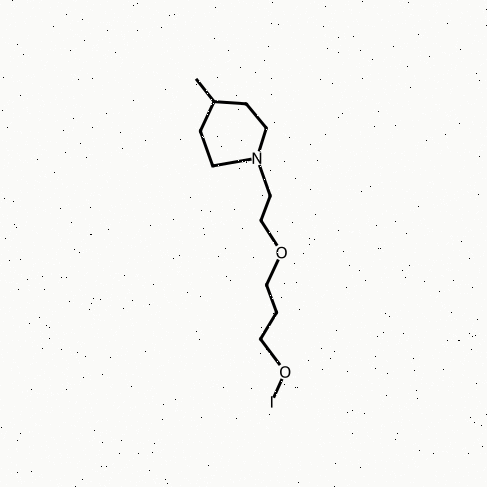 CC1CCN(CCOCCCOI)CC1